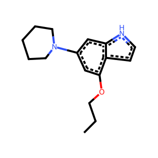 CCCOc1cc(N2CCCCC2)cc2[nH]ccc12